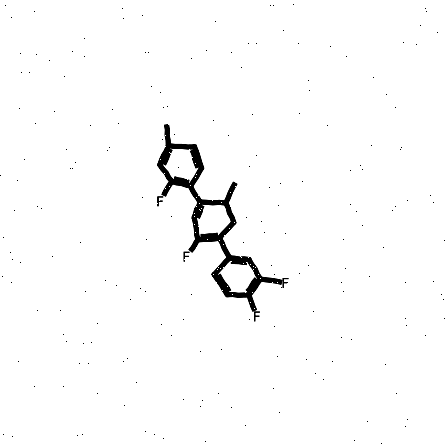 Cc1ccc(C2=CC(F)=C(c3ccc(F)c(F)c3)CC2C)c(F)c1